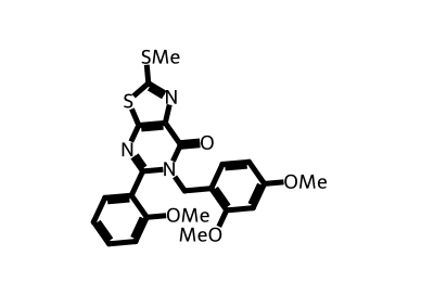 COc1ccc(Cn2c(-c3ccccc3OC)nc3sc(SC)nc3c2=O)c(OC)c1